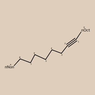 [CH2]CCCCCCCC#CCCCCCCCCCCCCCC[CH2]